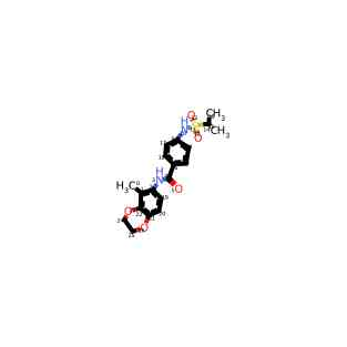 Cc1c(NC(=O)c2ccc(NS(=O)(=O)C(C)C)cc2)ccc2c1OCCO2